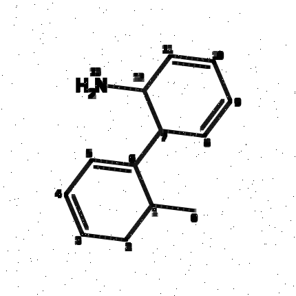 CC1CC=CC=C1C1C=CC=CC1N